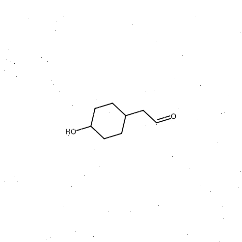 O=[C]CC1CCC(O)CC1